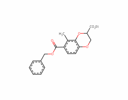 CCOC(=O)C1COc2ccc(C(=O)OCc3ccccc3)c(C)c2O1